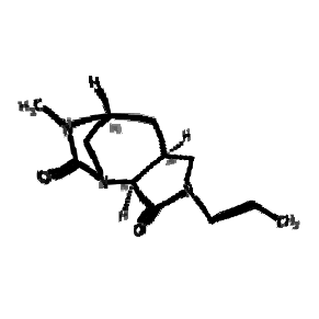 CCCN1C[C@@H]2C[C@@H]3CN(C(=O)N3C)[C@@H]2C1=O